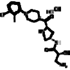 Cc1c(Cl)cccc1N1CCN(C(=O)[C@H]2C[C@H](NC(=O)[C@@H](O)CN)CN2)CC1.Cl.Cl